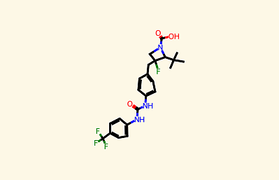 CC(C)(C)C1N(C(=O)O)CC1(F)Cc1ccc(NC(=O)Nc2ccc(C(F)(F)F)cc2)cc1